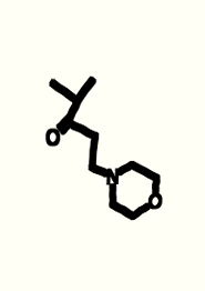 CC(C)C(=O)CCN1CCOCC1